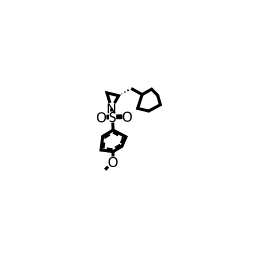 COc1ccc(S(=O)(=O)N2C[C@@H]2CC2CCCCC2)cc1